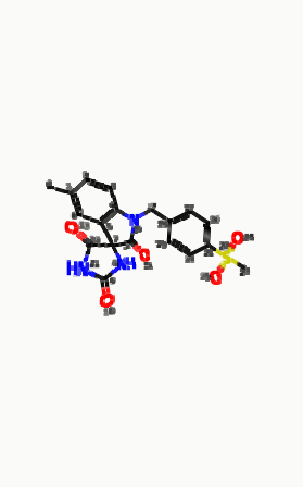 Cc1ccc2c(c1)C1(NC(=O)NC1=O)C(=O)N2Cc1ccc(S(C)(=O)=O)cc1